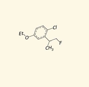 CCOc1ccc(Cl)c([C](C)CF)c1